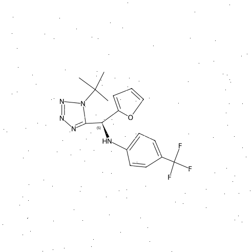 CC(C)(C)n1nnnc1[C@H](Nc1ccc(C(F)(F)F)cc1)c1ccco1